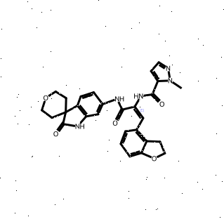 Cn1nccc1C(=O)N/C(=C/c1cccc2c1CCO2)C(=O)Nc1ccc2c(c1)NC(=O)C21CCOCC1